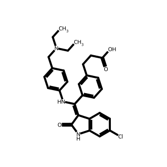 CCN(CC)Cc1ccc(N/C(=C2\C(=O)Nc3cc(Cl)ccc32)c2cccc(CCC(=O)O)c2)cc1